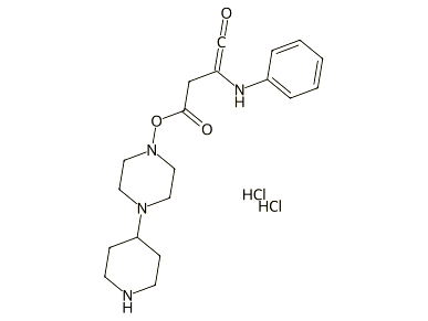 Cl.Cl.O=C=C(CC(=O)ON1CCN(C2CCNCC2)CC1)Nc1ccccc1